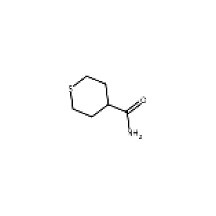 NC(=O)C1CCSCC1